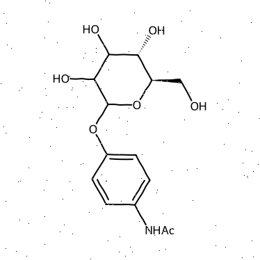 CC(=O)Nc1ccc(OC2O[C@H](CO)[C@@H](O)C(O)C2O)cc1